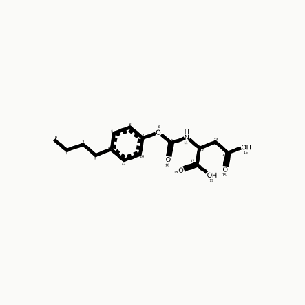 CCCCc1ccc(OC(=O)NC(CC(=O)O)C(=O)O)cc1